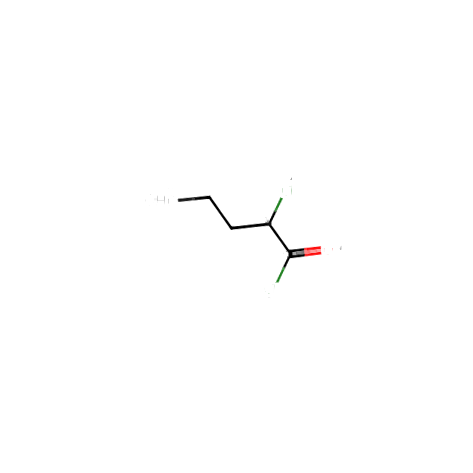 O=CCCC(Cl)C(=O)Cl